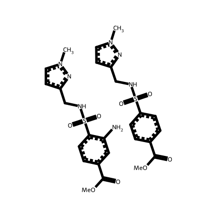 COC(=O)c1ccc(S(=O)(=O)NCc2ccn(C)n2)c(N)c1.COC(=O)c1ccc(S(=O)(=O)NCc2ccn(C)n2)cc1